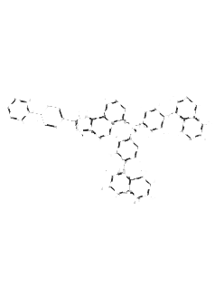 C1=CC(c2ccccc2)CC=C1c1nc2ccc3c(N(c4ccc(-c5cccc6ccccc56)cc4)c4ccc(-c5cccc6ccccc56)cc4)cccc3c2o1